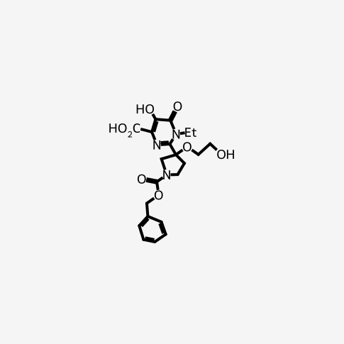 CCn1c(C2(OCCO)CCN(C(=O)OCc3ccccc3)C2)nc(C(=O)O)c(O)c1=O